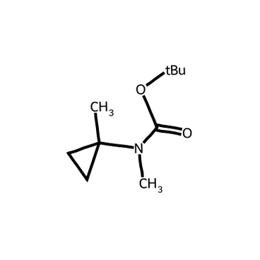 CN(C(=O)OC(C)(C)C)C1(C)CC1